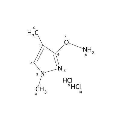 Cc1cn(C)nc1ON.Cl.Cl